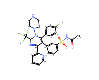 CC(=O)NS(=O)(=O)c1cccc(C2=C(c3ccc(F)cc3)N(N3CCNCC3)C(C(F)(F)F)N=C2c2ccccn2)c1